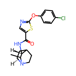 C[C@H]1[C@H](NC(=O)c2cnc(Oc3ccc(Cl)cc3)s2)C2CCN1CC2